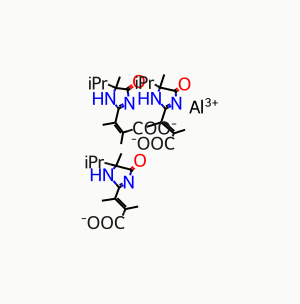 C/C(C(=O)[O-])=C(\C)C1=NC(=O)C(C)(C(C)C)N1.CC(C(=O)[O-])=C(C)C1=NC(=O)C(C)(C(C)C)N1.CC(C(=O)[O-])=C(C)C1=NC(=O)C(C)(C(C)C)N1.[Al+3]